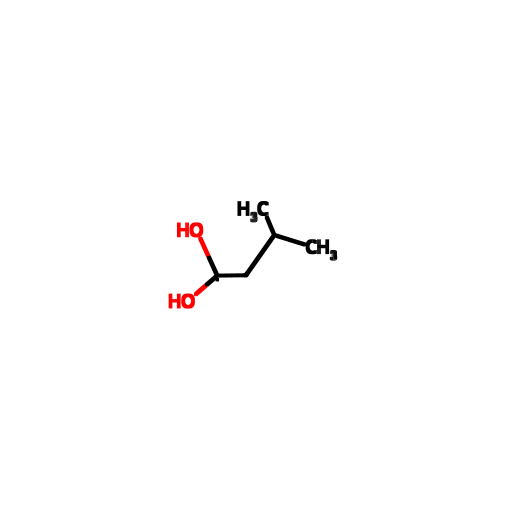 CC(C)C[C](O)O